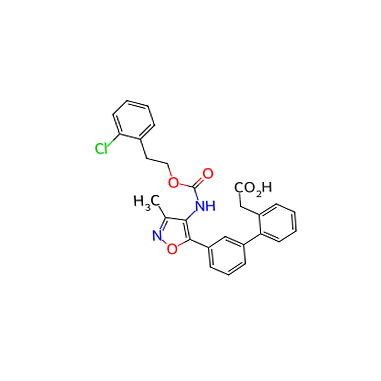 Cc1noc(-c2cccc(-c3ccccc3CC(=O)O)c2)c1NC(=O)OCCc1ccccc1Cl